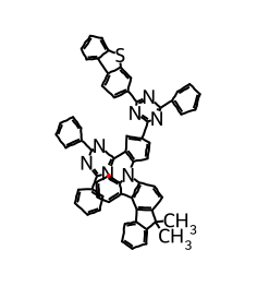 CC1(C)c2ccccc2-c2c1ccc1c2c2ccccc2n1-c1ccc(-c2nc(-c3ccccc3)nc(-c3ccc4c(c3)sc3ccccc34)n2)cc1-c1nc(-c2ccccc2)nc(-c2ccccc2)n1